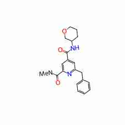 CNC(=O)c1cc(C(=O)NC2CCCOC2)cc(Cc2ccccc2)n1